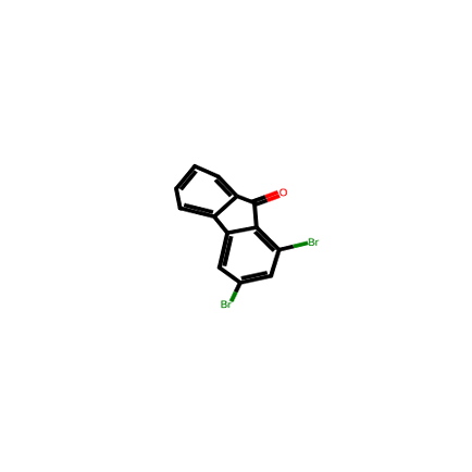 O=C1c2ccccc2-c2cc(Br)cc(Br)c21